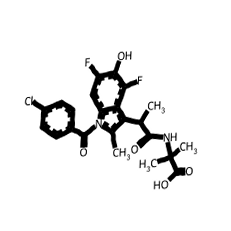 Cc1c(C(C)C(=O)NC(C)(C)C(=O)O)c2c(F)c(O)c(F)cc2n1C(=O)c1ccc(Cl)cc1